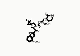 COc1cccc2[nH]c(C(=O)N3C[C@]4(C[C@H]3C(=O)N[C@H](CO)C[C@@H]3CCCNC3=O)CC4(F)F)cc12